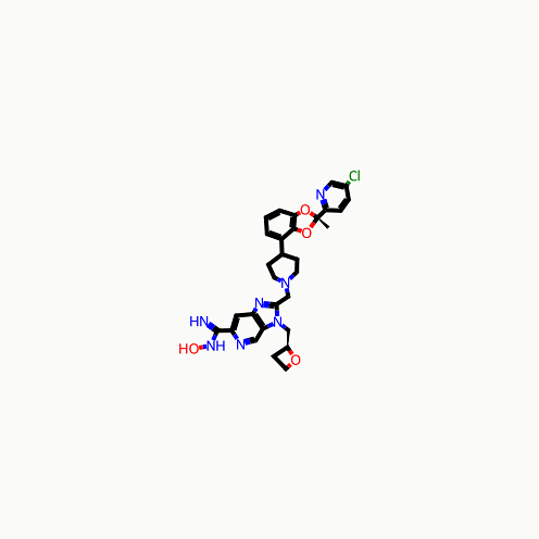 C[C@]1(c2ccc(Cl)cn2)Oc2cccc(C3CCN(Cc4nc5cc(C(=N)NO)ncc5n4C[C@@H]4CCO4)CC3)c2O1